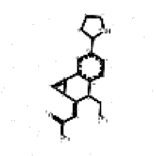 CCC1/C(=C/C(C)=O)C2C=C2c2cc(C3CCCN3)ccc21